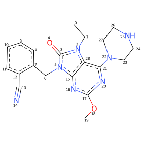 CCn1c(=O)n(Cc2ccccc2C#N)c2nc(OC)nc(N3CCNCC3)c21